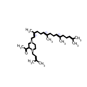 CC(=O)C1CN(C/C=C(\C)CC/C=C(\C)CC/C=C(\C)CCC=C(C)C)CCN1CC=C(C)C